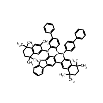 Cc1cc2c(cc1N1c3cc(-c4ccccc4)ccc3B3c4c(cc5c(sc6ccccc65)c41)-c1cc4c(cc1N3c1ccc(-c3ccccc3)cc1)C(C)(C)CCC4(C)C)C(C)(C)CCC2(C)C